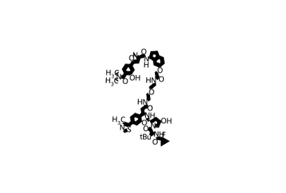 Cc1ncsc1-c1ccc(C(CC(=O)NCCOCCNC(=O)COc2ccc3c(c2)[C@H](NC(=O)c2cc(-c4ccc(C(=O)N(C)C)c(O)c4)on2)CC3)NC(=O)[C@@H]2C[C@@H](O)CN2C(=O)C(NC(=O)C2(F)CC2)C(C)(C)C)cc1